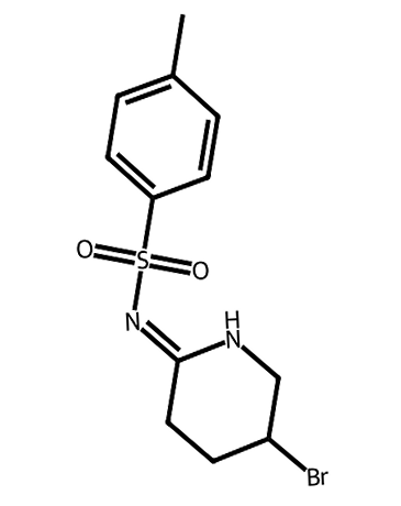 Cc1ccc(S(=O)(=O)/N=C2/CCC(Br)CN2)cc1